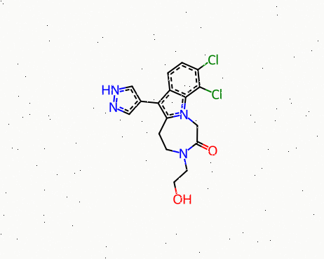 O=C1Cn2c(c(-c3cn[nH]c3)c3ccc(Cl)c(Cl)c32)CCN1CCO